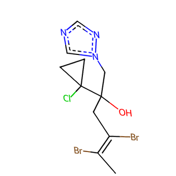 CC(Br)=C(Br)CC(O)(Cn1cncn1)C1(Cl)CC1